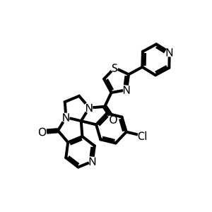 O=C(c1csc(-c2ccncc2)n1)N1CCN2C(=O)c3ccncc3C12c1ccc(Cl)cc1